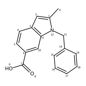 Cc1cc2ccc(C(=O)O)cc2n1Cc1ccccc1